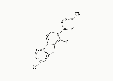 CCc1ccc2c(c1)Cc1c-2ccc(-c2ccc(C#N)cc2)c1F